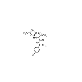 CC(C)OC(=O)NC(C(=O)NC(C)c1ccc(Cl)cc1)C(C)C